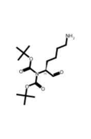 CC(C)(C)OC(=O)N(C(=O)OC(C)(C)C)[C@H](C=O)CCCCN